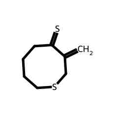 C=C1CSCCCCC1=S